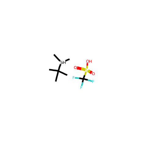 C[SiH](C)C(C)(C)C.O=S(=O)(O)C(F)(F)F